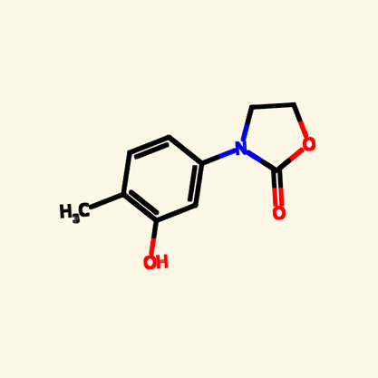 Cc1ccc(N2CCOC2=O)cc1O